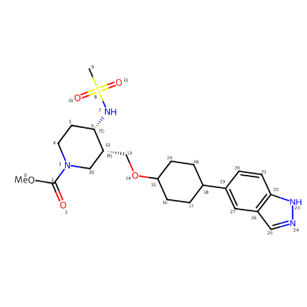 COC(=O)N1CC[C@H](NS(C)(=O)=O)[C@H](COC2CCC(c3ccc4[nH]ncc4c3)CC2)C1